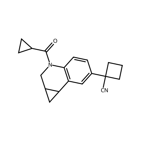 N#CC1(c2ccc3c(c2)C2CC2CN3C(=O)C2CC2)CCC1